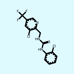 FC(F)(F)c1cnc(CNC(=S)Nc2ccccc2Cl)c(Cl)c1